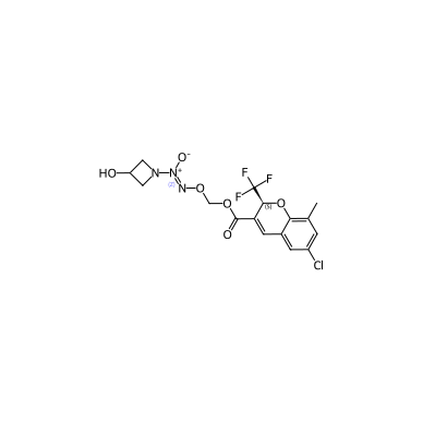 Cc1cc(Cl)cc2c1O[C@H](C(F)(F)F)C(C(=O)OCO/N=[N+](\[O-])N1CC(O)C1)=C2